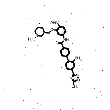 COc1ccc(NC(=O)c2ccc(-c3ccc(-c4noc(C)n4)cc3C)cc2)cc1OCC1CCCN(C)C1